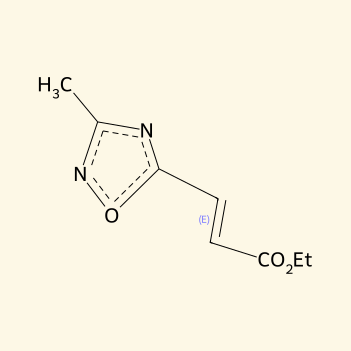 CCOC(=O)/C=C/c1nc(C)no1